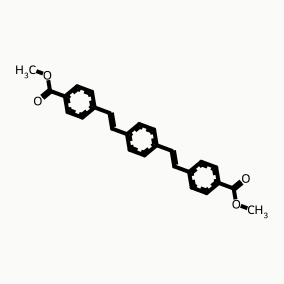 COC(=O)c1ccc(/C=C/c2ccc(/C=C/c3ccc(C(=O)OC)cc3)cc2)cc1